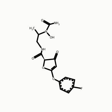 CC(CNC(=O)[C@@H]1OC(Oc2ccc(F)cc2)=CC1=O)N(O)C(N)=O